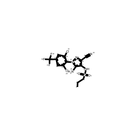 CCCS(=O)(=O)Nc1c(C#N)nn(-c2c(Cl)cc(C(F)(F)F)cc2Cl)c1N